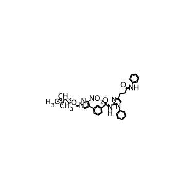 C[Si](C)(C)CCOCn1cc(-c2cccc(C(=O)Nc3nc(CCC(=O)Nc4ccccc4)cn3-c3ccccc3)c2)c([N+](=O)[O-])n1